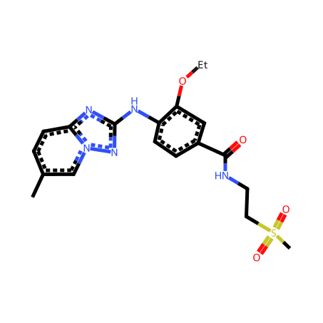 CCOc1cc(C(=O)NCCS(C)(=O)=O)ccc1Nc1nc2ccc(C)cn2n1